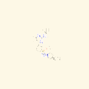 C[C@H]1CCN1c1nc2c(c(-c3cccc(S(=N)(=O)c4ccc(C#N)cc4C4CC4)c3)n1)CCC2